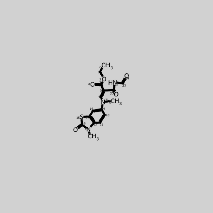 CCOC(=O)/C(=C/N(C)c1ccc2c(c1)sc(=O)n2C)C(=O)NC=O